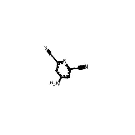 N#Cc1cc(N)cc(C#N)n1